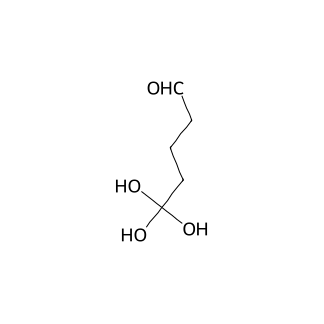 O=CCCCC(O)(O)O